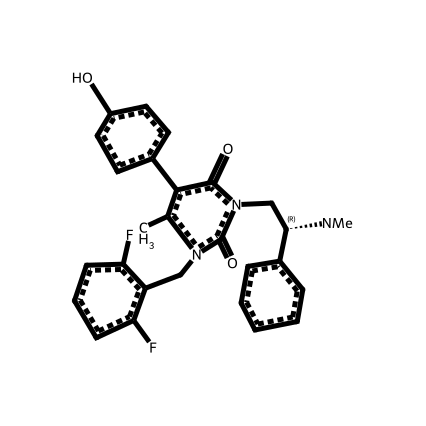 CN[C@@H](Cn1c(=O)c(-c2ccc(O)cc2)c(C)n(Cc2c(F)cccc2F)c1=O)c1ccccc1